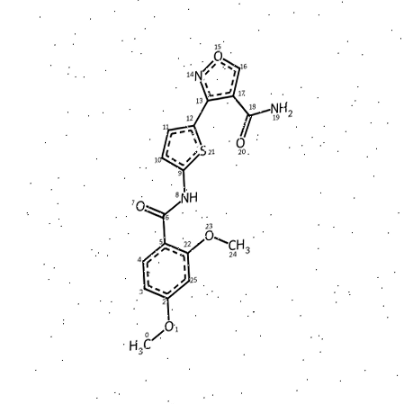 COc1ccc(C(=O)Nc2ccc(-c3nocc3C(N)=O)s2)c(OC)c1